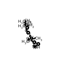 CCCc1nc(CSc2ccc(Oc3ccc(N)c(N(C)C(=O)OC(C)(C)C)c3)cc2)c(C(=O)OC)n1Cc1ccc(-c2ccccc2-c2nnn[nH]2)cc1